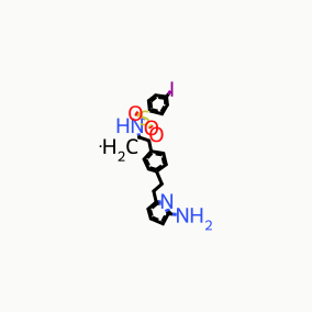 [CH2][C@H](NS(=O)(=O)c1ccc(I)cc1)C(=O)c1ccc(CCc2cccc(N)n2)cc1